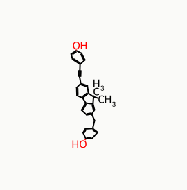 CC1(C)c2cc(C#Cc3ccc(O)cc3)ccc2-c2ccc(Cc3ccc(O)cc3)cc21